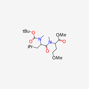 COCCC(C(=O)OC)N(C)C(=O)C(CC(C)C)N(C)C(=O)OC(C)(C)C